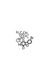 CC(C)(C)OC(=O)N1CCCC1c1nc2c(oc3ccc(Br)cc32)c(=O)[nH]1